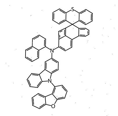 c1ccc2c(c1)Sc1ccccc1C21c2ccccc2-c2ccc(N(c3ccc4c(c3)c3ccccc3n4-c3cccc4oc5ccccc5c34)c3cccc4ccccc34)c3cccc1c23